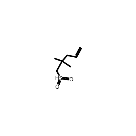 C=CCC(C)(C)C[SH](=O)=O